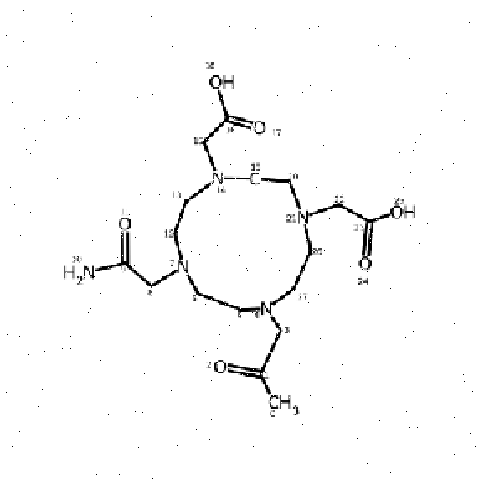 CC(=O)CN1CCN(CC(N)=O)CCN(CC(=O)O)CCN(CC(=O)O)CC1